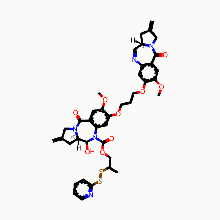 C=C1C[C@H]2C=Nc3cc(OCCCOc4cc5c(cc4OC)C(=O)N4CC(=C)C[C@H]4C(O)N5C(=O)OCC(C)SSc4ccccn4)c(OC)cc3C(=O)N2C1